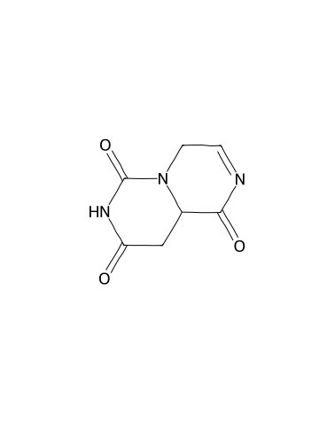 O=C1CC2C(=O)N=CCN2C(=O)N1